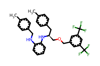 Cc1ccc(CNc2ccccc2N[C@H](COCc2cc(C(F)(F)F)cc(C(F)(F)F)c2)Cc2ccc(C)cc2)cc1